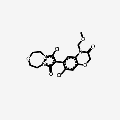 COCN1C(=O)COc2cc(Cl)c(-c3c(Cl)n4n(c3=O)CCOCC4)cc21